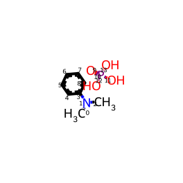 CN(C)c1ccccc1.O=P(O)(O)O